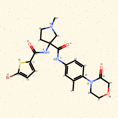 Cc1cc(NC(=O)C2(NC(=O)c3ccc(Br)s3)CCN(C)C2)ccc1N1CCOCC1=O